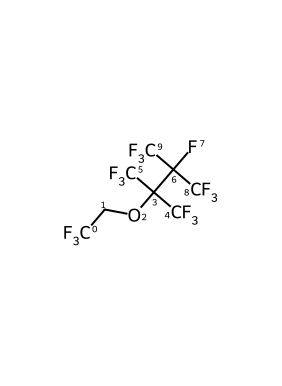 FC(F)(F)COC(C(F)(F)F)(C(F)(F)F)C(F)(C(F)(F)F)C(F)(F)F